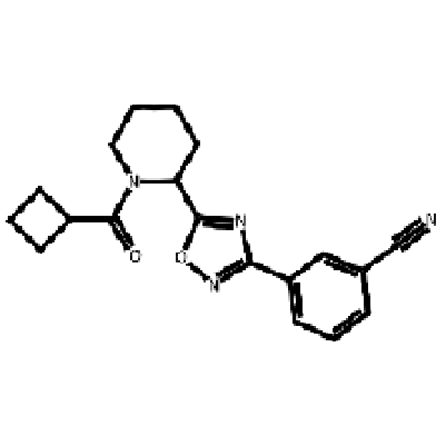 N#Cc1cccc(-c2noc(C3CCCCN3C(=O)C3CCC3)n2)c1